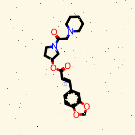 O=C(/C=C/c1ccc2c(c1)OCO2)OC1CCN(C(=O)CN2CCCCC2)C1